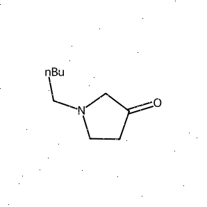 CCCCCN1CCC(=O)C1